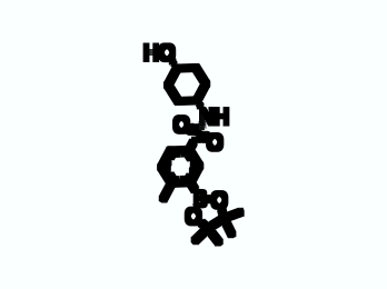 Cc1ccc(S(=O)(=O)N[C@H]2CC[C@@H](O)CC2)cc1B1OC(C)(C)C(C)(C)O1